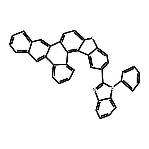 c1ccc(-n2c(-c3ccc4oc5ccc6c7cc8ccccc8cc7c7ccccc7c6c5c4c3)nc3ccccc32)cc1